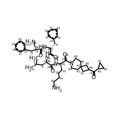 CC(C)C[C@@H](NC(=O)[C@@H](Cc1ccccc1)NC(=O)[C@H](N)Cc1ccccc1)C(=O)N[C@H](CCCCN)C(=O)N1CCC2(CC1)CC(C(=O)C1CC1)C2